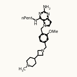 CCCCCNc1nc(N)nc2ccn(Cc3ccc(CN4CC(C5CCN(C)CC5)C4)cc3OC)c12